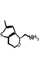 Cc1cc2c(s1)CCO[C@@H]2CN